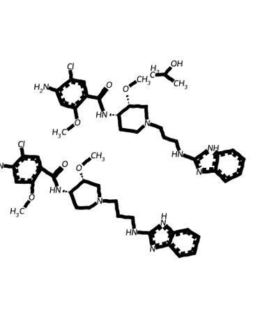 CC(C)O.COc1cc(N)c(Cl)cc1C(=O)N[C@H]1CCN(CCCNc2nc3ccccc3[nH]2)C[C@H]1OC.COc1cc(N)c(Cl)cc1C(=O)N[C@H]1CCN(CCCNc2nc3ccccc3[nH]2)C[C@H]1OC